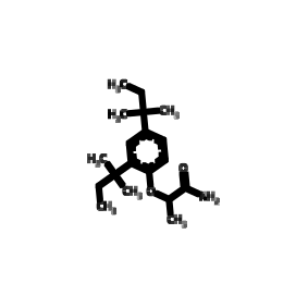 CCC(C)(C)c1ccc(OC(C)C(N)=O)c(C(C)(C)CC)c1